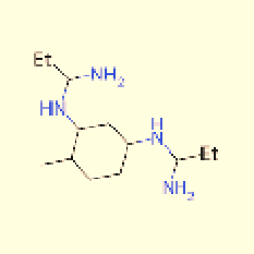 CCC(N)NC1CCC(C)C(NC(N)CC)C1